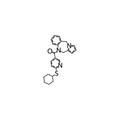 O=C(c1ccc(SC2CCCCC2)nc1)N1Cc2cccn2Cc2ccccc21